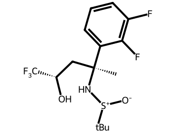 CC(C)(C)[S+]([O-])N[C@@](C)(C[C@H](O)C(F)(F)F)c1cccc(F)c1F